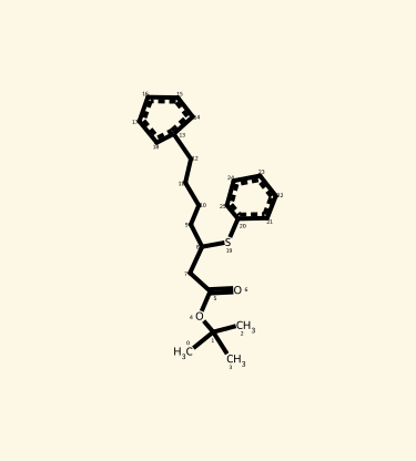 CC(C)(C)OC(=O)CC(CCCCc1ccccc1)Sc1ccccc1